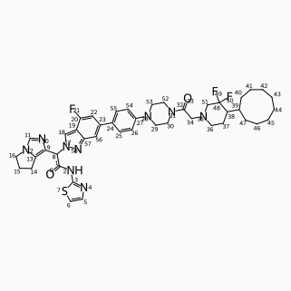 O=C(Nc1nccs1)C(c1ncn2c1CCC2)n1cc2c(F)cc(-c3ccc(N4CCN(C(=O)CN5CCC(C6CCCCCCCC6)C(F)(F)C5)CC4)cc3)cc2n1